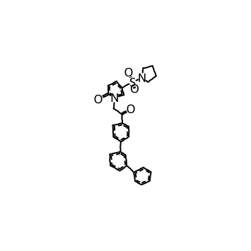 O=C(Cn1cc(S(=O)(=O)N2CCCC2)ccc1=O)c1ccc(-c2cccc(-c3ccccc3)c2)cc1